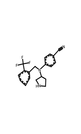 N#Cc1ccc(N(Cc2ccccc2C(F)(F)F)C2CCNC2)cc1